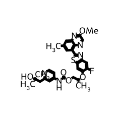 COc1cnc2c(-c3nc4cc(F)c(O[C@@H](C)COC(=O)Nc5ccnc(CC(C)(C)O)c5)cc4s3)cc(C)cc2n1